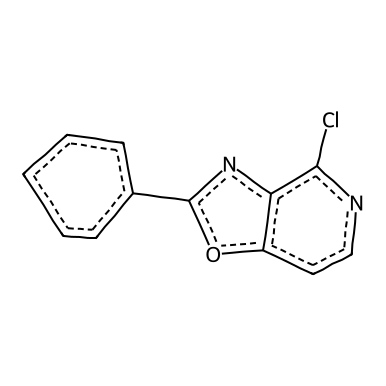 Clc1nccc2oc(-c3ccccc3)nc12